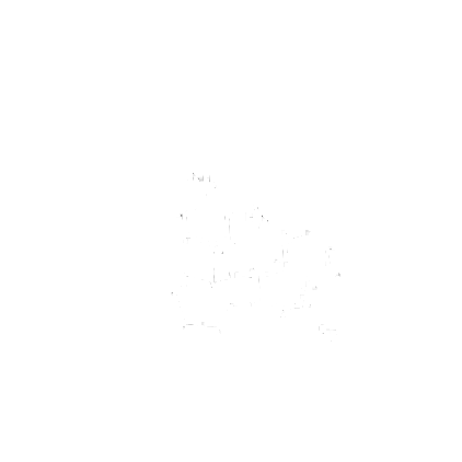 Nc1ccc(C2(O)C=CC=CC2)cc1.Nc1cccc2c(O)cccc12